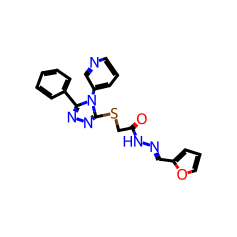 O=C(CSc1nnc(-c2ccccc2)n1-c1cccnc1)NN=Cc1ccco1